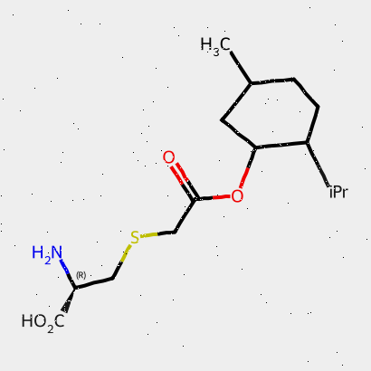 CC1CCC(C(C)C)C(OC(=O)CSC[C@H](N)C(=O)O)C1